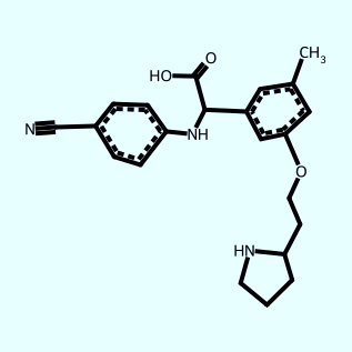 Cc1cc(OCCC2CCCN2)cc(C(Nc2ccc(C#N)cc2)C(=O)O)c1